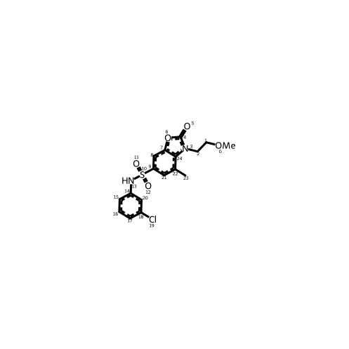 COCCn1c(=O)oc2cc(S(=O)(=O)Nc3cccc(Cl)c3)cc(C)c21